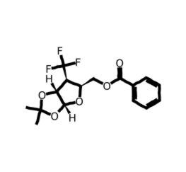 CC1(C)O[C@H]2O[C@H](COC(=O)c3ccccc3)[C@H](C(F)(F)F)[C@H]2O1